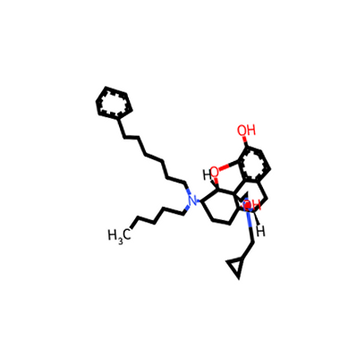 CCCCCN(CCCCCCc1ccccc1)[C@@H]1CC[C@@]2(O)[C@H]3Cc4ccc(O)c5c4[C@@]2(CCN3CC2CC2)[C@H]1O5